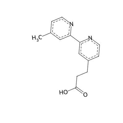 Cc1ccnc(-c2cc(CCC(=O)O)ccn2)c1